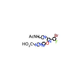 CC(=O)NCC1CCN(Cc2cc(Oc3ccc(N4CCN(CCC(=O)O)CC4)nc3)nc(-c3cc(F)cc(Br)c3)c2)CC1